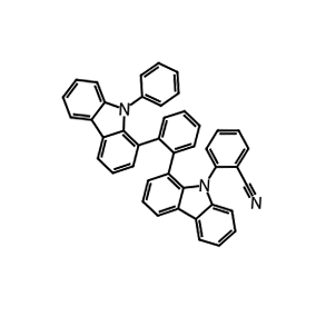 N#Cc1ccccc1-n1c2ccccc2c2cccc(-c3ccccc3-c3cccc4c5ccccc5n(-c5ccccc5)c34)c21